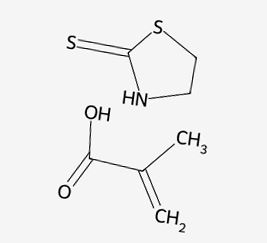 C=C(C)C(=O)O.S=C1NCCS1